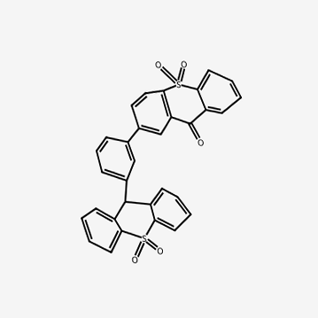 O=C1c2ccccc2S(=O)(=O)c2ccc(-c3cccc(C4c5ccccc5S(=O)(=O)c5ccccc54)c3)cc21